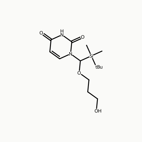 CC(C)(C)[Si](C)(C)C(OCCCO)n1ccc(=O)[nH]c1=O